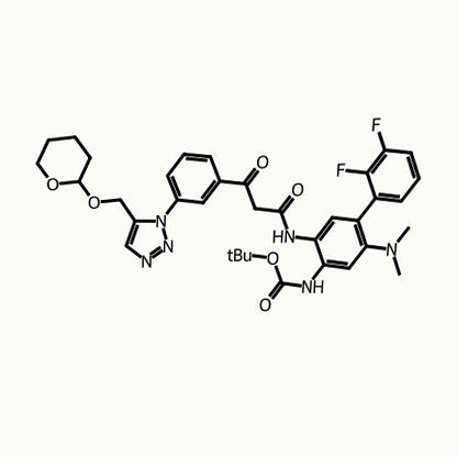 CN(C)c1cc(NC(=O)OC(C)(C)C)c(NC(=O)CC(=O)c2cccc(-n3nncc3COC3CCCCO3)c2)cc1-c1cccc(F)c1F